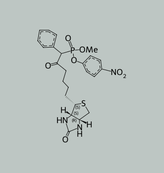 COP(=O)(Oc1ccc([N+](=O)[O-])cc1)C(C(=O)CCCC[C@@H]1SC[C@@H]2NC(=O)N[C@@H]21)c1ccccc1